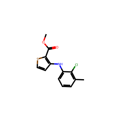 COC(=O)c1sccc1Nc1cccc(C)c1Cl